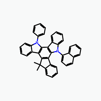 CC1(C)c2ccccc2-c2c1c1c3ccccc3n(-c3ccccc3)c1c1c3ccccc3n(-c3cccc4ccccc34)c21